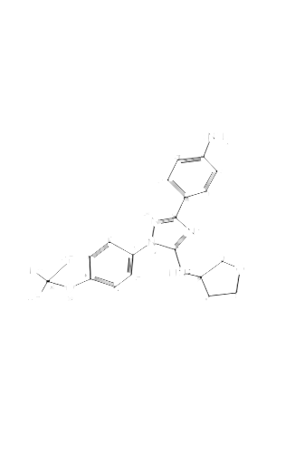 Nc1ccc(-c2nc(NC3CCOC3)n(-c3ccc(OC(F)(F)F)cc3)n2)cc1